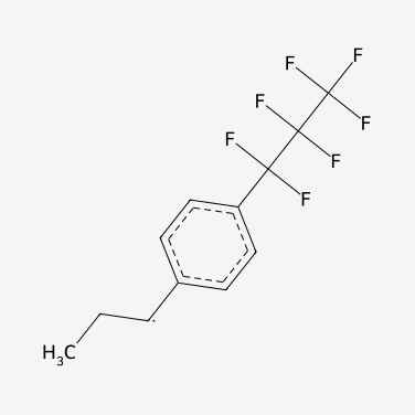 CC[CH]c1ccc(C(F)(F)C(F)(F)C(F)(F)F)cc1